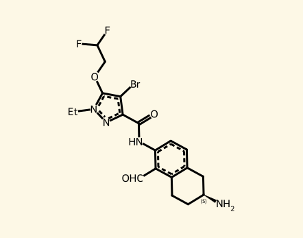 CCn1nc(C(=O)Nc2ccc3c(c2C=O)CC[C@H](N)C3)c(Br)c1OCC(F)F